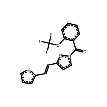 O=C(c1ccccc1OC(F)(F)F)n1ccc(C=Cc2ccco2)n1